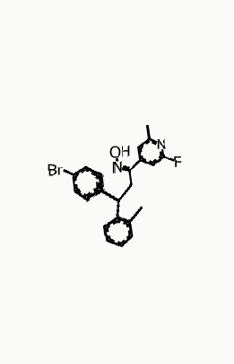 Cc1cc(C(CC(c2ccc(Br)cc2)c2ccccc2C)=NO)cc(F)n1